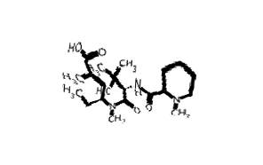 CC[C@@H](/C=C(\C)C(=O)O)N(C)C(=O)[C@@H](NC(=O)C1CCCCN1C)C(C)(C)C